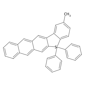 Cc1ccc2c(c1)-c1cc3cc4ccccc4cc3cc1[Si]2(c1ccccc1)c1ccccc1